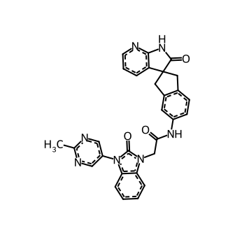 Cc1ncc(-n2c(=O)n(CC(=O)Nc3ccc4c(c3)CC3(C4)C(=O)Nc4ncccc43)c3ccccc32)cn1